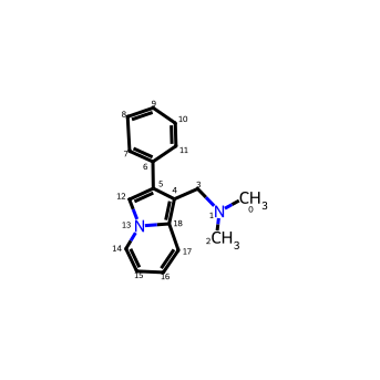 CN(C)Cc1c(-c2ccccc2)cn2ccccc12